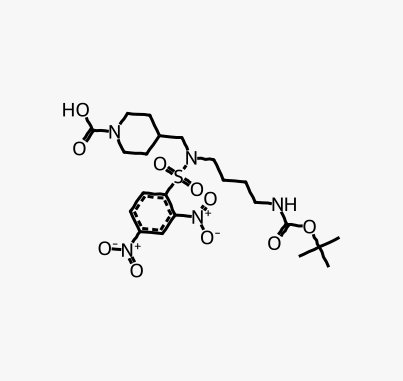 CC(C)(C)OC(=O)NCCCCN(CC1CCN(C(=O)O)CC1)S(=O)(=O)c1ccc([N+](=O)[O-])cc1[N+](=O)[O-]